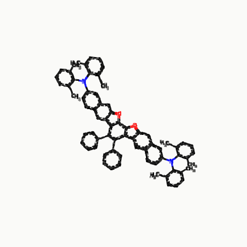 Cc1cccc(C)c1N(c1ccc2cc3c(cc2c1)oc1c2oc4cc5cc(N(c6c(C)cccc6C)c6c(C)cccc6C)ccc5cc4c2c(-c2ccccc2)c(-c2ccccc2)c31)c1c(C)cccc1C